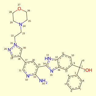 CC(O)(c1ccccc1)c1ccc2[nH]c(-c3cc(-c4cnn(CCN5CCOCC5)c4)cnc3N)nc2c1